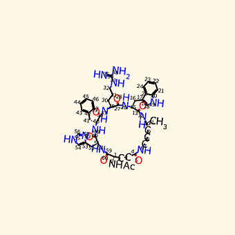 CC(=O)N[C@H]1CCC(=O)NCCC[C@@H](C)NC(=O)[C@H](Cc2c[nH]c3ccccc23)NC(=O)[C@H](CCCNC(=N)N)NC(=O)[C@@H](Cc2ccccc2)NC(=O)[C@H](Cc2c[nH]cn2)NC1=O